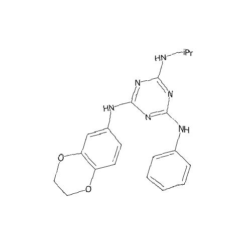 CC(C)Nc1nc(Nc2ccccc2)nc(Nc2ccc3c(c2)OCCO3)n1